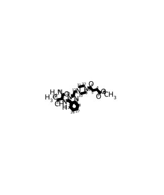 COC(=O)CCC(=O)N1CCN(Cc2nc(N[C@H](C(N)=O)C(C)C)c3ccccc3n2)CC1